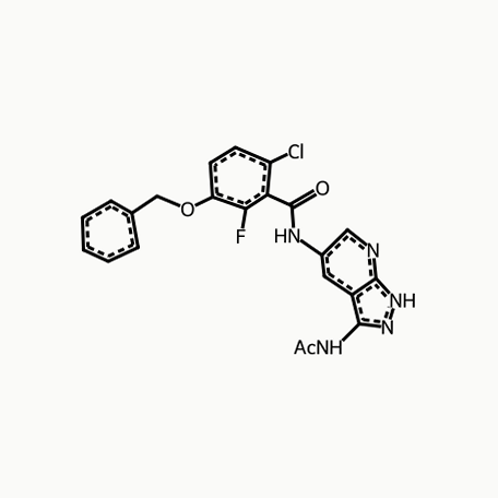 CC(=O)Nc1n[nH]c2ncc(NC(=O)c3c(Cl)ccc(OCc4ccccc4)c3F)cc12